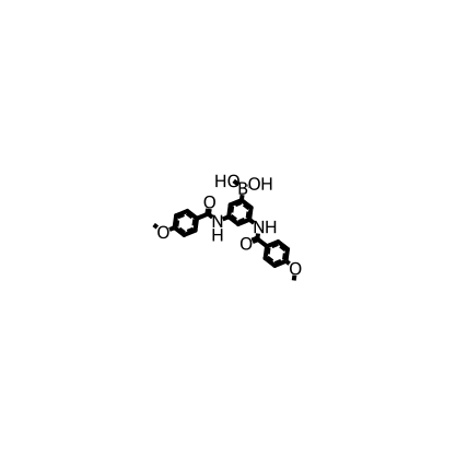 COc1ccc(C(=O)Nc2cc(NC(=O)c3ccc(OC)cc3)cc(B(O)O)c2)cc1